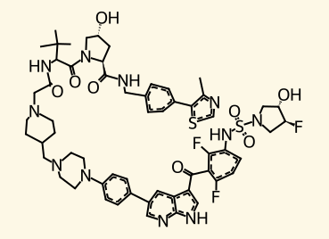 Cc1ncsc1-c1ccc(CNC(=O)[C@@H]2C[C@@H](O)CN2C(=O)C(NC(=O)CN2CCC(CN3CCN(c4ccc(-c5cnc6[nH]cc(C(=O)c7c(F)ccc(NS(=O)(=O)N8C[C@H](O)[C@@H](F)C8)c7F)c6c5)cc4)CC3)CC2)C(C)(C)C)cc1